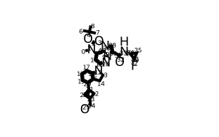 CN(C(=O)OC(C)(C)C)c1cc(N2CCc3c2cccc3C23CC(C=O)(C2)C3)nn2c(C(=O)N[C@@H]3C[C@@H]3F)cnc12